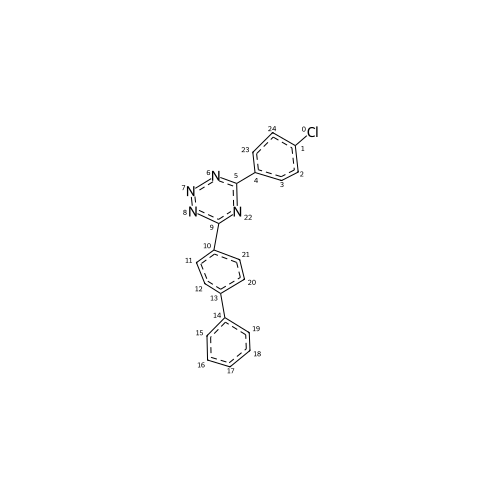 Clc1ccc(-c2nnnc(-c3ccc(-c4ccccc4)cc3)n2)cc1